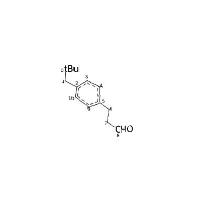 CC(C)(C)Cc1ccc(CCC=O)cc1